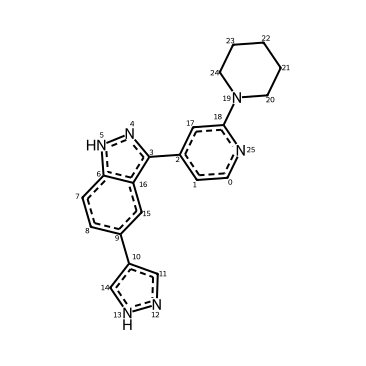 c1cc(-c2n[nH]c3ccc(-c4cn[nH]c4)cc23)cc(N2CCCCC2)n1